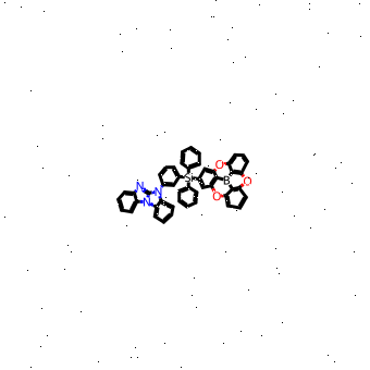 c1ccc([Si](c2ccccc2)(c2cccc(-n3c4ccccc4n4c5ccccc5nc34)c2)c2cc3c4c(c2)Oc2cccc5c2B4c2c(cccc2O3)O5)cc1